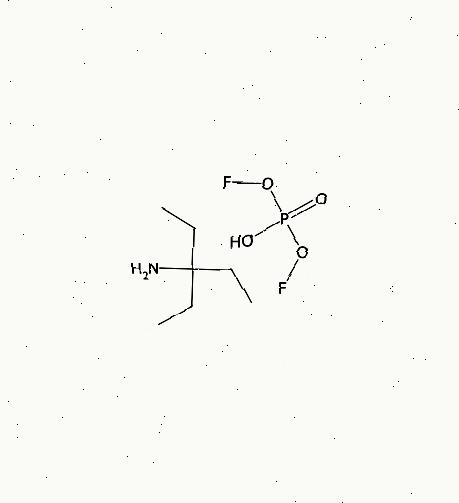 CCC(N)(CC)CC.O=P(O)(OF)OF